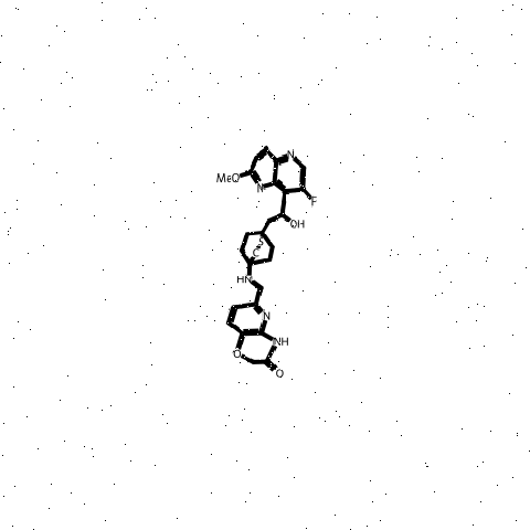 COc1ccc2ncc(F)c(C(O)CC34CCC(NCc5ccc6c(n5)NC(=O)CO6)(CC3)CS4)c2n1